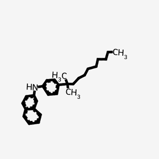 CCCCCCCCCC(C)(C)c1ccc(Nc2ccc3ccccc3c2)cc1